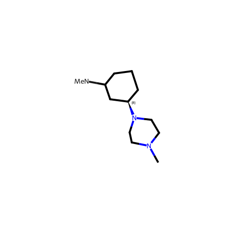 CNC1CCC[C@@H](N2CCN(C)CC2)C1